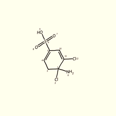 NC1(Cl)CC=C(S(=O)(=O)O)C=C1Cl